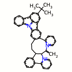 C=C1C2C(CCc3cc4c(cc3-c3cccc[n+]31)c1cc(C(C)(C)C)cc3c5ccccc5n4c31)c1ccccc1-c1cccc[n+]12